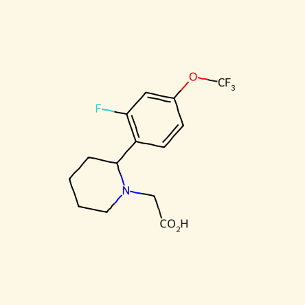 O=C(O)CN1CCCCC1c1ccc(OC(F)(F)F)cc1F